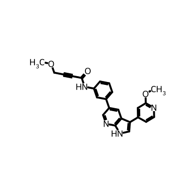 COCC#CC(=O)Nc1cccc(-c2cnc3[nH]cc(-c4ccnc(OC)c4)c3c2)c1